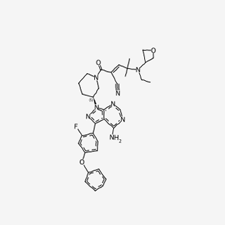 CCN(C1COC1)C(C)(C)C=C(C#N)C(=O)N1CCC[C@H](n2nc(-c3ccc(Oc4ccccc4)cc3F)c3c(N)ncnc32)C1